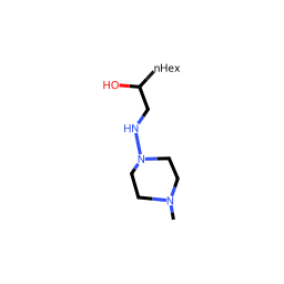 CCCCCCC(O)CNN1CCN(C)CC1